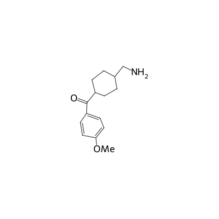 COc1ccc(C(=O)C2CCC(CN)CC2)cc1